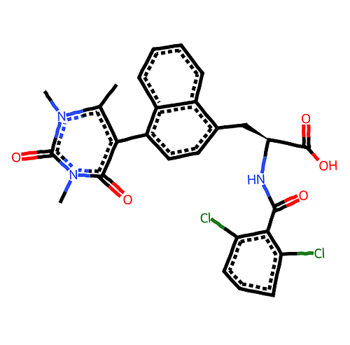 Cc1c(-c2ccc(C[C@H](NC(=O)c3c(Cl)cccc3Cl)C(=O)O)c3ccccc23)c(=O)n(C)c(=O)n1C